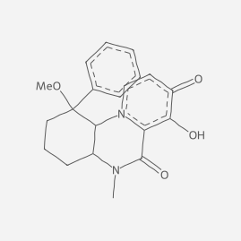 COC1(c2ccccc2)CCCC2C1n1ccc(=O)c(O)c1C(=O)N2C